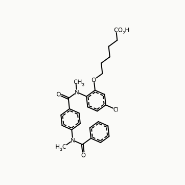 CN(C(=O)c1ccccc1)c1ccc(C(=O)N(C)c2ccc(Cl)cc2OCCCCCC(=O)O)cc1